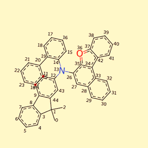 CC1(C)c2ccccc2-c2ccc(N(c3ccccc3-c3ccccc3)c3cc4ccccc4c4c3oc3ccccc34)cc21